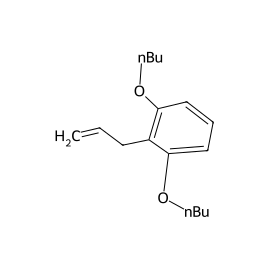 C=CCc1c(OCCCC)cccc1OCCCC